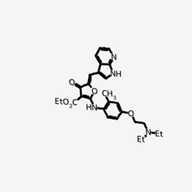 CCOC(=O)C1=C(Nc2ccc(OCCN(CC)CC)cc2C)O/C(=C\c2c[nH]c3ncccc23)C1=O